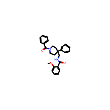 COc1ccccc1C(=O)NCC1(c2ccccc2)CCN(C(=O)c2ccccc2)CC1